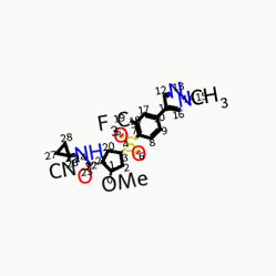 CO[C@@H]1C[C@H](S(=O)(=O)c2ccc(-c3cnn(C)c3)cc2C(F)(F)F)C[C@H]1C(=O)NC1(C#N)CC1